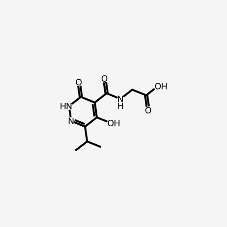 CC(C)c1n[nH]c(=O)c(C(=O)NCC(=O)O)c1O